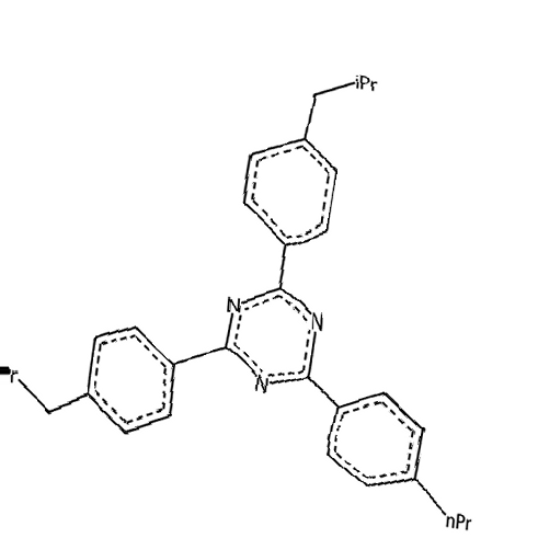 CCCc1ccc(-c2nc(-c3ccc(CC(C)C)cc3)nc(-c3ccc(CC(C)C)cc3)n2)cc1